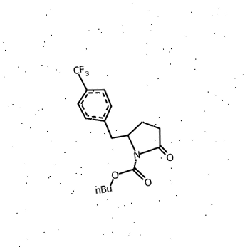 CCCCOC(=O)N1C(=O)CCC1Cc1ccc(C(F)(F)F)cc1